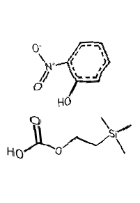 C[Si](C)(C)CCOC(=O)O.O=[N+]([O-])c1ccccc1O